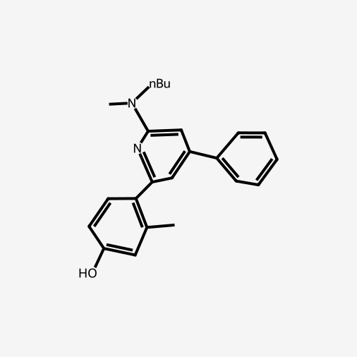 CCCCN(C)c1cc(-c2ccccc2)cc(-c2ccc(O)cc2C)n1